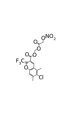 Cc1cc2c(c(C)c1Cl)C=C(C(=O)OCOC(=O)CO[N+](=O)[O-])[C@@H](C(F)(F)F)O2